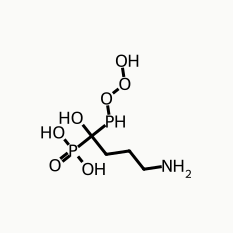 NCCCC(O)(POOO)P(=O)(O)O